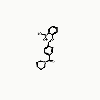 O=C(c1ccc(COc2ccccc2B(O)O)cc1)N1CCCCC1